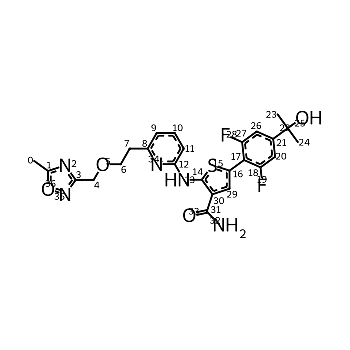 Cc1nc(COCCc2cccc(Nc3sc(-c4c(F)cc(C(C)(C)O)cc4F)cc3C(N)=O)n2)no1